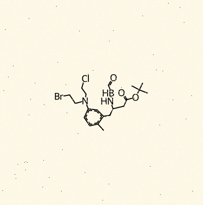 Cc1ccc(N(CCCl)CCBr)cc1C[C@H](CC(=O)OC(C)(C)C)NBC=O